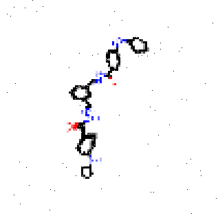 O=C(N/N=C/c1cccc(/C=N/NC(=O)c2ccc(NC3CCCC3)cc2)c1)c1ccc(NC2CCCC2)cc1